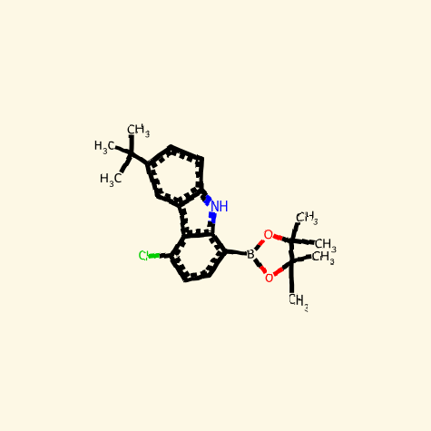 CC(C)(C)c1ccc2[nH]c3c(B4OC(C)(C)C(C)(C)O4)ccc(Cl)c3c2c1